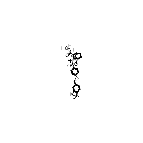 CN([C@@H]1[C@H]2CC[C@H](C2)[C@@H]1C(=O)NO)S(=O)(=O)c1ccc(OCc2ccc3nonc3c2)cc1